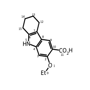 CCOc1cc2[nH]c3c(c2cc1C(=O)O)CCCC3